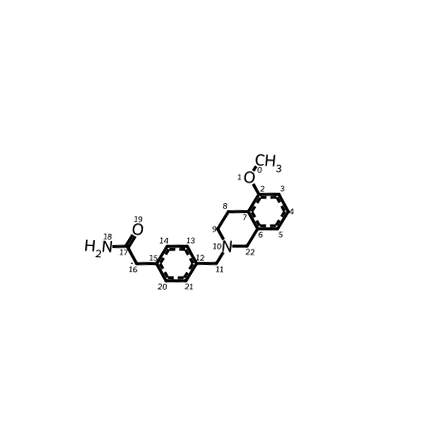 COc1cccc2c1CCN(Cc1ccc([CH]C(N)=O)cc1)C2